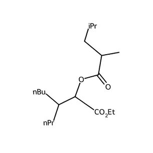 CCCCC(CCC)C(OC(=O)C(C)CC(C)C)C(=O)OCC